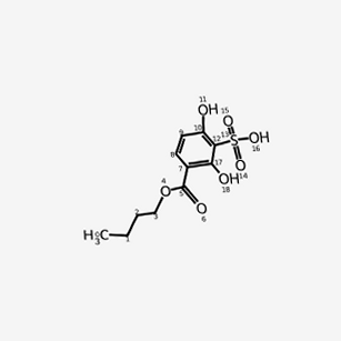 CCCCOC(=O)c1ccc(O)c(S(=O)(=O)O)c1O